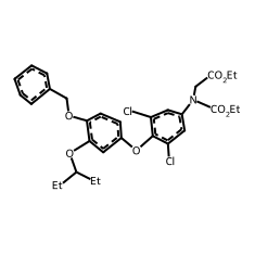 CCOC(=O)CN(C(=O)OCC)c1cc(Cl)c(Oc2ccc(OCc3ccccc3)c(OC(CC)CC)c2)c(Cl)c1